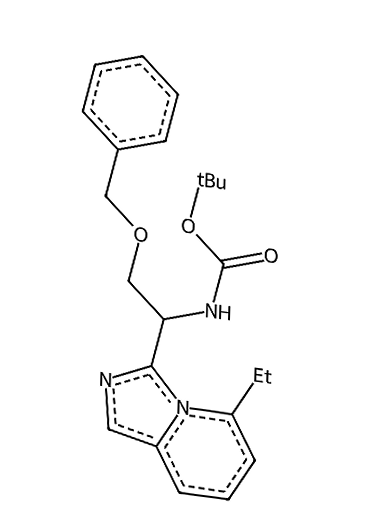 CCc1cccc2cnc(C(COCc3ccccc3)NC(=O)OC(C)(C)C)n12